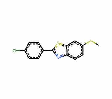 CSc1ccc2nc(-c3ccc(Cl)cc3)sc2c1